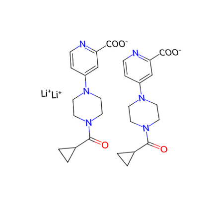 O=C([O-])c1cc(N2CCN(C(=O)C3CC3)CC2)ccn1.O=C([O-])c1cc(N2CCN(C(=O)C3CC3)CC2)ccn1.[Li+].[Li+]